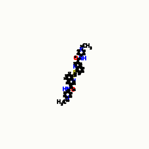 CCN1CCC(NC(=O)c2cnc3c(SSc4cccc5cc(C(=O)NC6CCN(CC)CC6)cnc45)cccc3c2)CC1